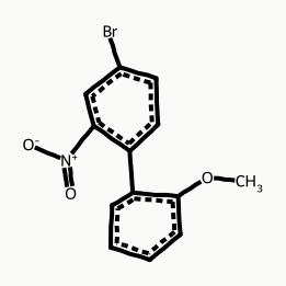 COc1ccccc1-c1ccc(Br)cc1[N+](=O)[O-]